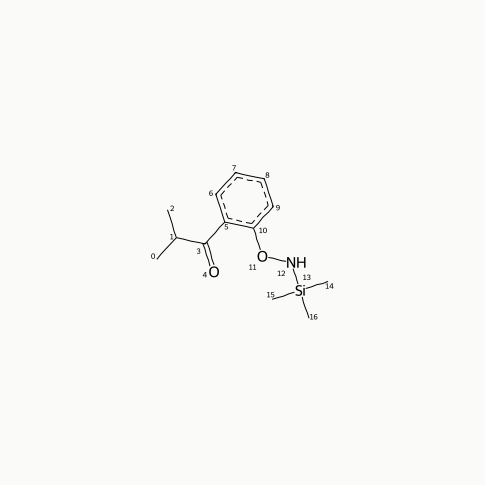 CC(C)C(=O)c1ccccc1ON[Si](C)(C)C